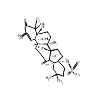 [C-]#[N+]C1=C[C@]2(C)[C@H]3CC(=O)[C@@H]4[C@@H]5CC(C)(C)CC[C@]5(NS(C)(=O)=O)CC[C@@]4(C)[C@]3(C)CC[C@H]2C(C)(C)C1=O